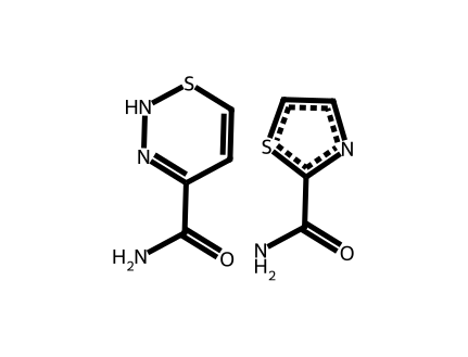 NC(=O)C1=NNSC=C1.NC(=O)c1nccs1